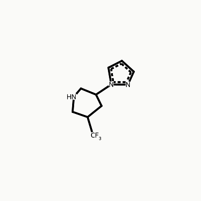 FC(F)(F)C1CNCC(n2cccn2)C1